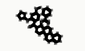 COc1ccc(C(=O)C2CC=c3c(ccc4c3=CCc3ccccc3-4)C2OC(=O)c2ccccc2)c(OC2CCCC2)c1